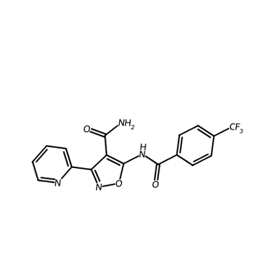 NC(=O)c1c(-c2ccccn2)noc1NC(=O)c1ccc(C(F)(F)F)cc1